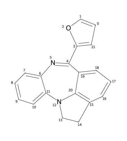 c1coc(C2=Nc3ccccc3N3CCc4cccc2c43)c1